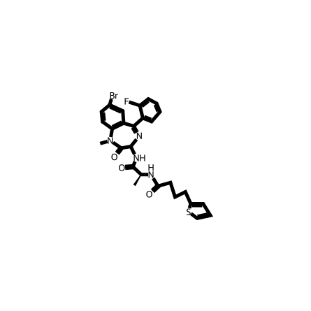 C[C@H](NC(=O)CCCc1cccs1)C(=O)NC1N=C(c2ccccc2F)c2cc(Br)ccc2N(C)C1=O